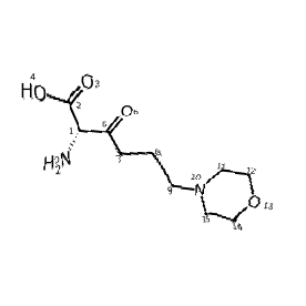 N[C@H](C(=O)O)C(=O)CCCN1CCOCC1